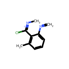 C=Nc1cccc(C)c1/C(Cl)=N\C